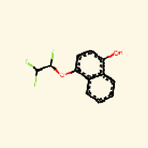 Oc1ccc(OC(F)C(F)F)c2ccccc12